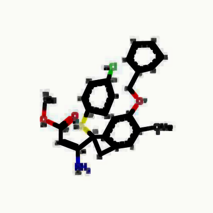 COc1cc2c(cc1OCc1ccccc1)C(Sc1ccc(Cl)cc1)(/C(N)=C\C(=O)OC(C)(C)C)C2